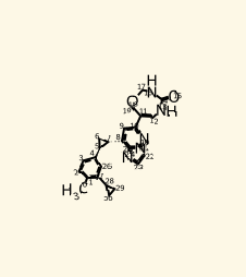 Cc1ccc([C@H]2C[C@@H]2c2cc(/C3=C/NC(=O)NCOC3)nn3ccnc23)cc1C1CC1